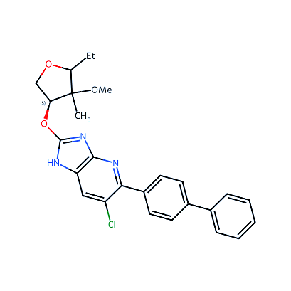 CCC1OC[C@H](Oc2nc3nc(-c4ccc(-c5ccccc5)cc4)c(Cl)cc3[nH]2)C1(C)OC